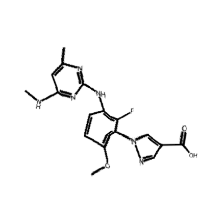 CNc1cc(C)nc(Nc2ccc(OC)c(-n3cc(C(=O)O)cn3)c2F)n1